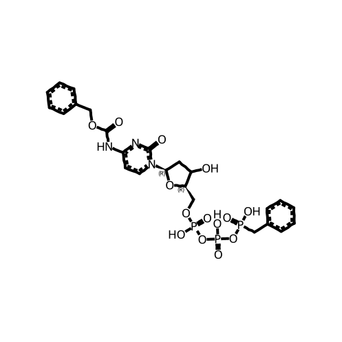 O=C(Nc1ccn([C@H]2CC(O)[C@@H](COP(=O)(O)OP(=O)(O)OP(=O)(O)Cc3ccccc3)O2)c(=O)n1)OCc1ccccc1